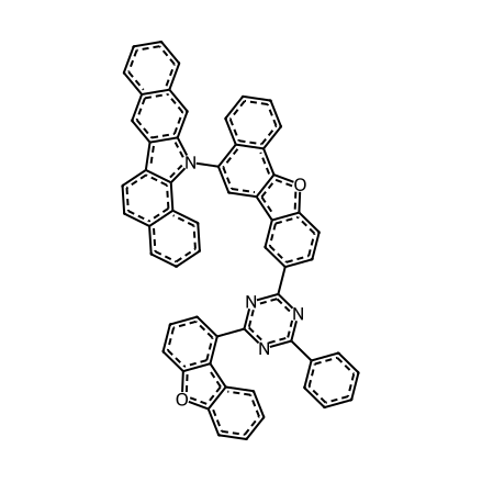 c1ccc(-c2nc(-c3ccc4oc5c6ccccc6c(-n6c7cc8ccccc8cc7c7ccc8ccccc8c76)cc5c4c3)nc(-c3cccc4oc5ccccc5c34)n2)cc1